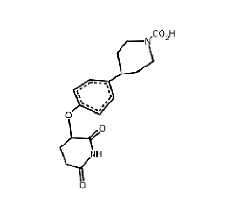 O=C1CCC(Oc2ccc(C3CCN(C(=O)O)CC3)cc2)C(=O)N1